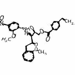 C=Cc1ccc(C(=O)OCC(=O)/C(=N\Nc2ccc(N=O)cc2OC)C(=O)Cc2ccccc2OC)cc1